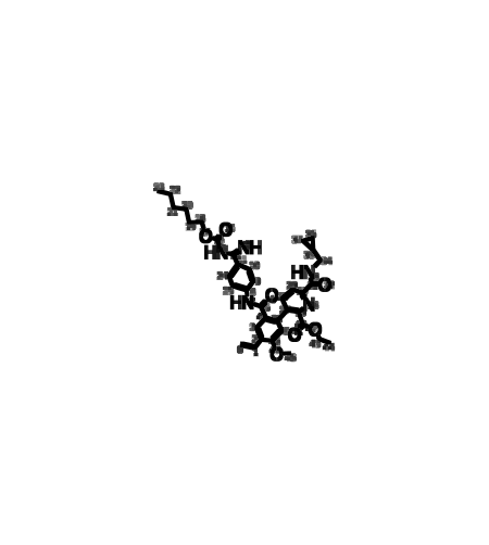 C=Cc1cc(C(=O)Nc2ccc(C(=N)NC(=O)OCCCCCC)cc2)c(-c2ccc(C(=O)NCC3CC3)nc2C(=O)OCC)cc1OC